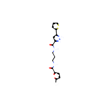 Cc1ccc(C(=O)NCCCNC(=O)c2cc(-c3cccs3)[nH]n2)o1